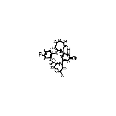 COc1cc(F)ccc1C[C@@H]1CCCCCN1c1nc(N2CCO[C@H](C)C2)cc(=O)[nH]1